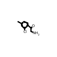 Cc1ccc(C(=O)CN)c(Cl)c1